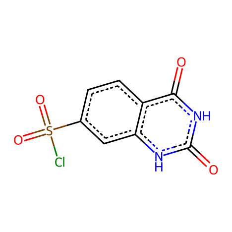 O=c1[nH]c(=O)c2ccc(S(=O)(=O)Cl)cc2[nH]1